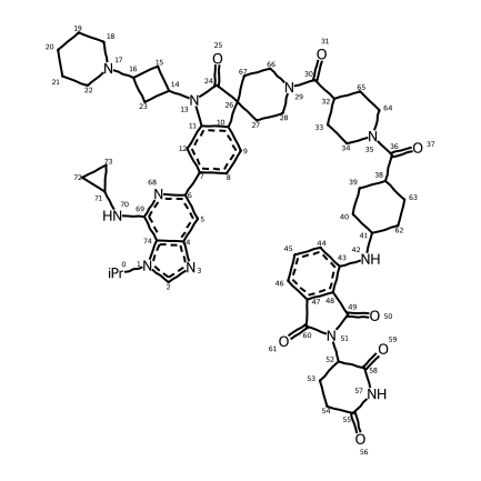 CC(C)n1cnc2cc(-c3ccc4c(c3)N(C3CC(N5CCCCC5)C3)C(=O)C43CCN(C(=O)C4CCN(C(=O)C5CCC(Nc6cccc7c6C(=O)N(C6CCC(=O)NC6=O)C7=O)CC5)CC4)CC3)nc(NC3CC3)c21